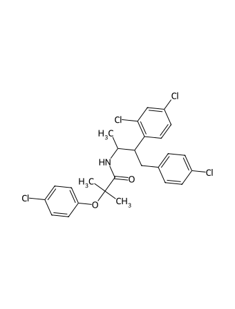 CC(NC(=O)C(C)(C)Oc1ccc(Cl)cc1)C(Cc1ccc(Cl)cc1)c1ccc(Cl)cc1Cl